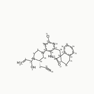 C=CC(O)N1CCN(c2nc(Cl)nc3c2NC(=O)C2(CCCc4ccccc42)C3)C[C@@H]1CC#N